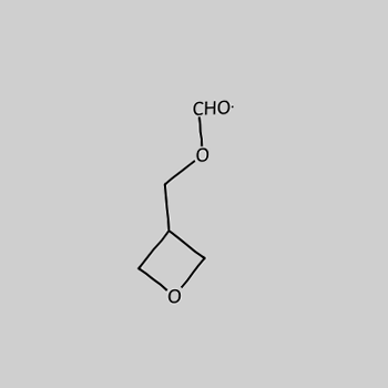 O=[C]OCC1COC1